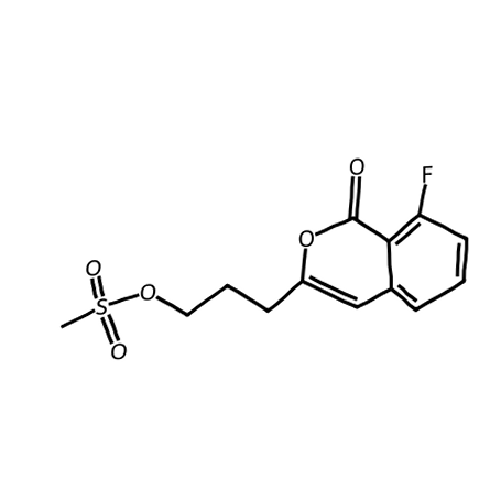 CS(=O)(=O)OCCCc1cc2cccc(F)c2c(=O)o1